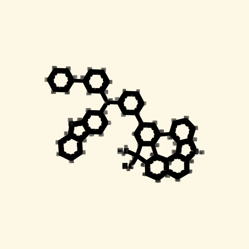 CC1(C)c2cc(-c3cccc(N(c4cccc(-c5ccccc5)c4)c4ccc5c(c4)oc4ccccc45)c3)cc3c2-c2c1ccc1ccc4oc5cccc-3c5c4c21